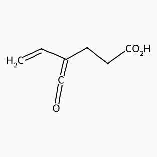 C=CC(=C=O)CCC(=O)O